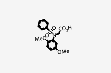 COc1ccc(OC)c(N(CC(=O)O)S(=O)(=O)c2ccccc2)c1